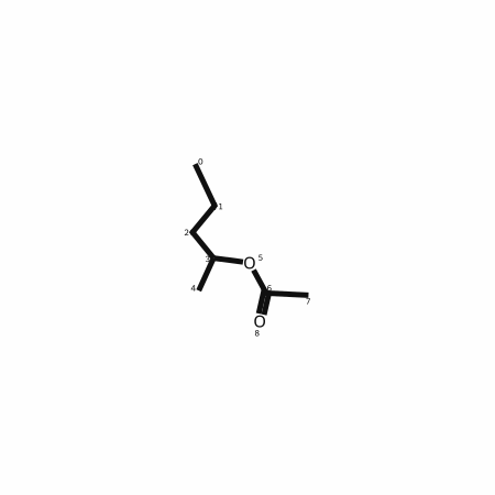 C[CH]CC(C)OC(C)=O